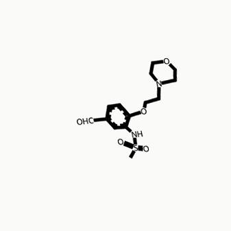 CS(=O)(=O)Nc1cc(C=O)ccc1OCCN1CCOCC1